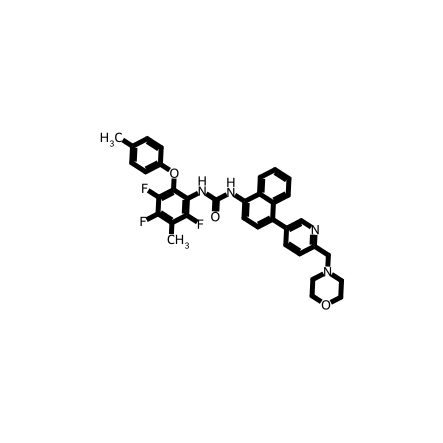 Cc1ccc(Oc2c(F)c(F)c(C)c(F)c2NC(=O)Nc2ccc(-c3ccc(CN4CCOCC4)nc3)c3ccccc23)cc1